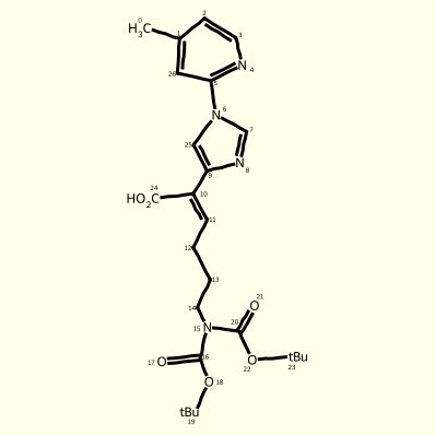 Cc1ccnc(-n2cnc(/C(=C/CCCN(C(=O)OC(C)(C)C)C(=O)OC(C)(C)C)C(=O)O)c2)c1